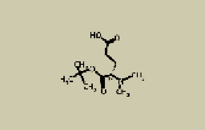 CN(C)[C@@H](CCC(=O)O)C(=O)OC(C)(C)C